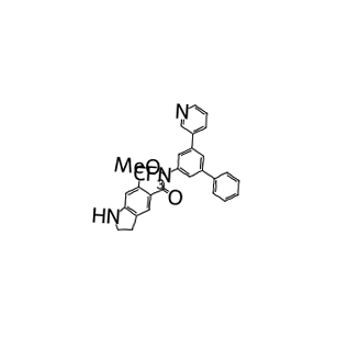 CON(C(=O)c1cc2c(cc1C(F)(F)F)NCC2)c1cc(-c2ccccc2)cc(-c2cccnc2)c1